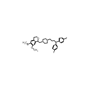 COc1cc2c(cc1OC)C(CN1CCN(CCCC(c3ccc(F)cc3)c3ccc(F)cc3)CC1)OCC2